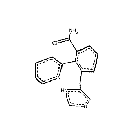 NC(=O)c1cccc(-c2nnc[nH]2)c1-c1ccccn1